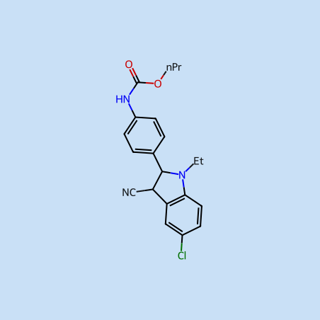 CCCOC(=O)Nc1ccc(C2C(C#N)c3cc(Cl)ccc3N2CC)cc1